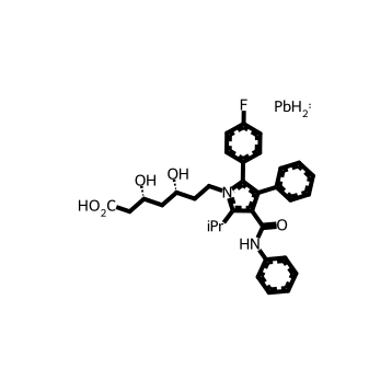 CC(C)c1c(C(=O)Nc2ccccc2)c(-c2ccccc2)c(-c2ccc(F)cc2)n1CC[C@@H](O)C[C@@H](O)CC(=O)O.[PbH2]